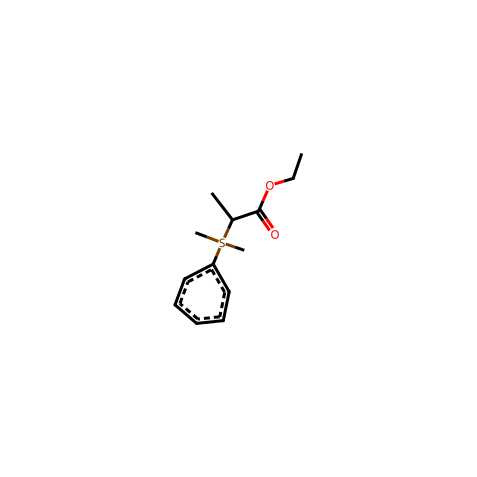 CCOC(=O)C(C)S(C)(C)c1ccccc1